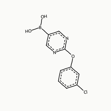 OB(O)c1cnc(Oc2cccc(Cl)c2)nc1